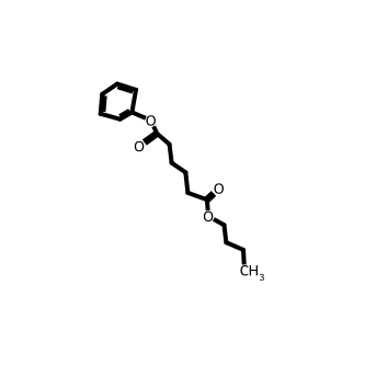 CCCCOC(=O)CCCCC(=O)Oc1ccccc1